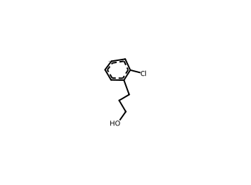 OCCCc1cc[c]cc1Cl